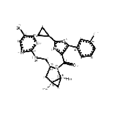 O=C(c1nc(C2CC2)sc1-c1cccc(F)c1)N1[C@H](CNc2ncc(Br)cn2)C[C@@H]2C[C@@H]21